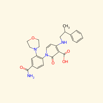 CC(CNc1ccn(-c2ccc(C(N)=O)cc2N2CCOCC2)c(=O)c1C(=O)O)c1ccccc1